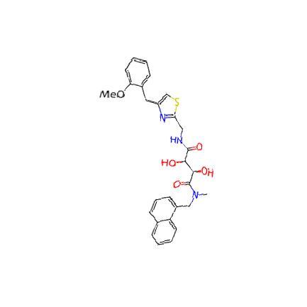 COc1ccccc1Cc1csc(CNC(=O)[C@H](O)[C@@H](O)C(=O)N(C)Cc2cccc3ccccc23)n1